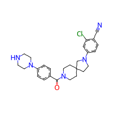 N#Cc1ccc(N2CCC3(CCN(C(=O)c4ccc(N5CCNCC5)cc4)CC3)C2)cc1Cl